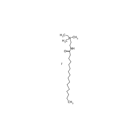 CCCCCCCCCCCCCCCC(=O)NCC[N+](C)(C)CC.[I-]